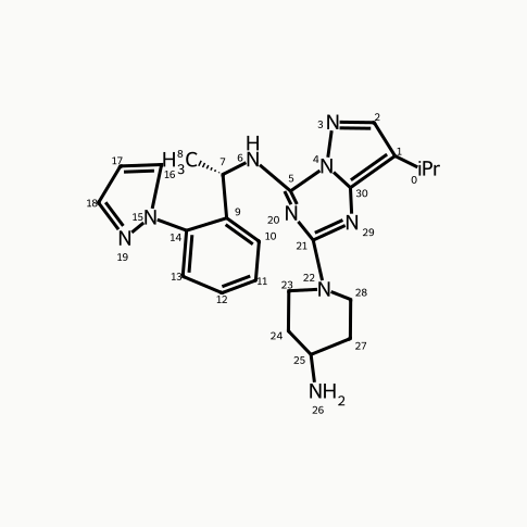 CC(C)c1cnn2c(N[C@@H](C)c3ccccc3-n3cccn3)nc(N3CCC(N)CC3)nc12